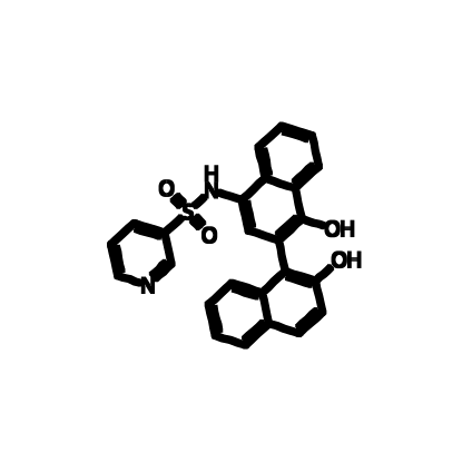 O=S(=O)(Nc1cc(-c2c(O)ccc3ccccc23)c(O)c2ccccc12)c1cccnc1